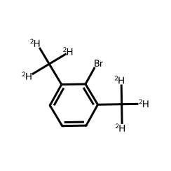 [2H]C([2H])([2H])c1cccc(C([2H])([2H])[2H])c1Br